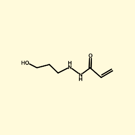 C=CC(=O)NNCCCO